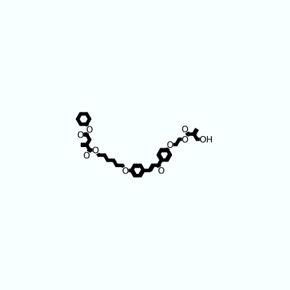 C=C(CO)C(=O)OCCOc1ccc(C(=O)/C=C/c2ccc(OCCCCCCOC(=O)C(=C)CC(=O)OC3CCCCC3)cc2)cc1